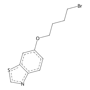 BrCCCCOc1ccc2ncsc2c1